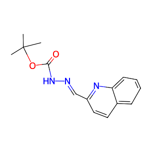 CC(C)(C)OC(=O)NN=Cc1ccc2ccccc2n1